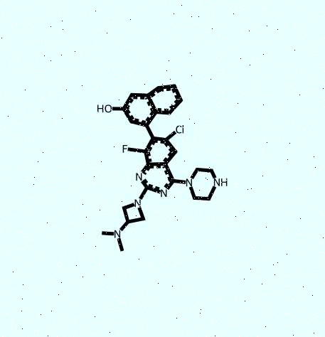 CN(C)C1CN(c2nc(N3CCNCC3)c3cc(Cl)c(-c4cc(O)cc5ccccc45)c(F)c3n2)C1